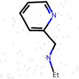 CC[N]Cc1ccccn1